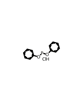 Cl.c1ccc(O[P]Oc2ccccc2)cc1